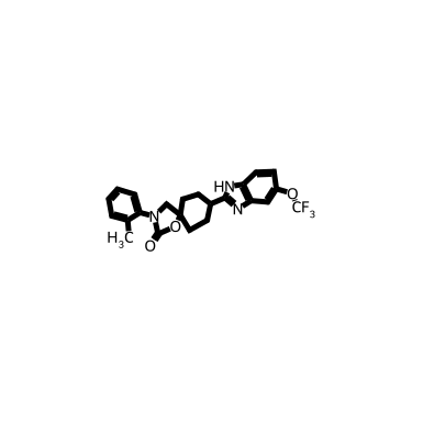 Cc1ccccc1N1CC2(CCC(c3nc4cc(OC(F)(F)F)ccc4[nH]3)CC2)OC1=O